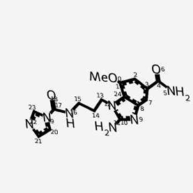 COc1cc(C(N)=O)cc2nc(N)n(CCCNC(=O)n3ccnc3)c12